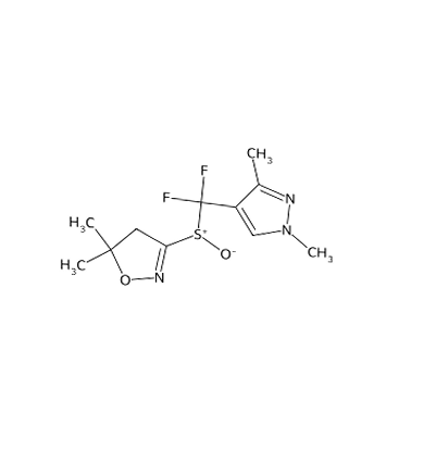 Cc1nn(C)cc1C(F)(F)[S+]([O-])C1=NOC(C)(C)C1